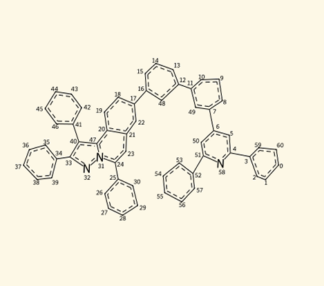 c1ccc(-c2cc(-c3cccc(-c4cccc(-c5ccc6c(c5)cc(-c5ccccc5)n5nc(-c7ccccc7)c(-c7ccccc7)c65)c4)c3)cc(-c3ccccc3)n2)cc1